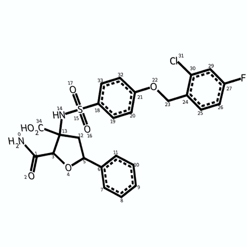 NC(=O)C1OC(c2ccccc2)CC1(NS(=O)(=O)c1ccc(OCc2ccc(F)cc2Cl)cc1)C(=O)O